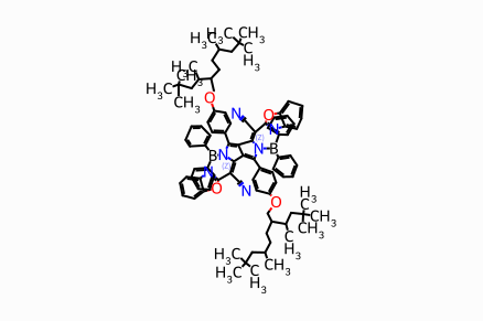 CC(CCC(COc1ccc(-c2c3/c(=C(\C#N)c4nc5ccccc5o4)n(B(c4ccccc4)c4ccccc4)c(-c4ccc(OCC(CCC(C)CC(C)(C)C)C(C)CC(C)(C)C)cc4)c3/c(=C(\C#N)c3nc4ccccc4o3)n2B(c2ccccc2)c2ccccc2)cc1)C(C)CC(C)(C)C)CC(C)(C)C